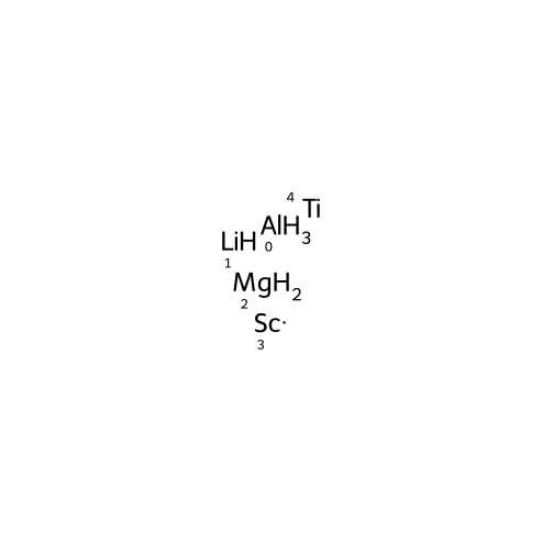 [AlH3].[LiH].[MgH2].[Sc].[Ti]